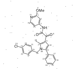 COc1cc(NC(=O)C(=O)c2cc(-c3ccccc3)n(Cc3ccc(Cl)cc3)c2C)ccn1